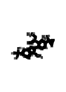 CCS(=N)c1cc(C2(N)CC2)cnc1-c1nc2cc(C(F)(F)F)nnc2n1C